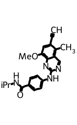 C#Cc1cc(OC)c2nc(Nc3ccc(C(=O)NC(C)C)cc3)ncc2c1C